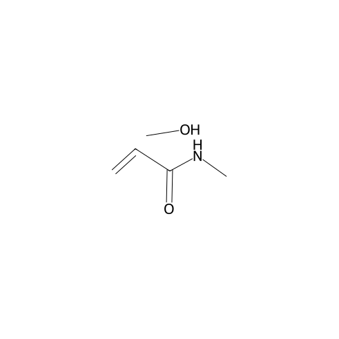 C=CC(=O)NC.CO